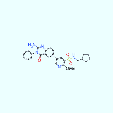 COc1ncc(-c2ccc3nc(N)n(-c4ccccc4)c(=O)c3c2)cc1S(=O)(=O)NCC1CCCC1